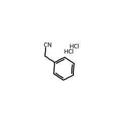 Cl.Cl.N#CCc1ccccc1